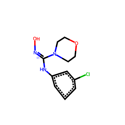 O/N=C(/Nc1cccc(Cl)c1)N1CCOCC1